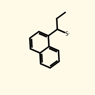 CCC([S])c1cccc2ccccc12